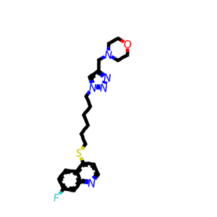 Fc1ccc2c(SCCCCCCn3cc(CN4CCOCC4)nn3)ccnc2c1